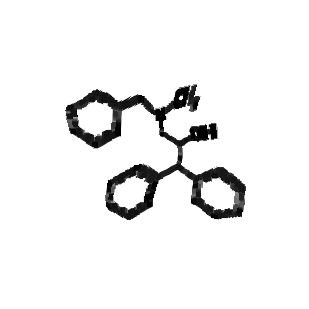 CN(Cc1ccccc1)CC(O)C(c1ccccc1)c1ccccc1